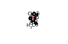 CC1OCc2sc(NC(=O)c3c(C(F)(F)F)ccc(Cl)c3F)c(C(=O)c3ccccc3)c21